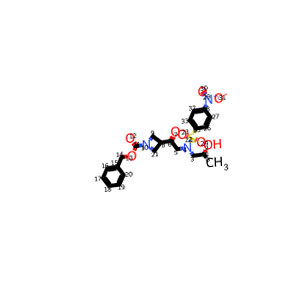 CC(O)CN(CC(=O)C1CN(C(=O)OCc2ccccc2)C1)S(=O)(=O)c1ccc([N+](=O)[O-])cc1